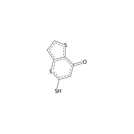 O=c1cc(S)sc2ccsc12